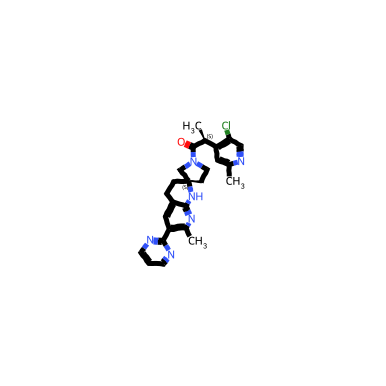 Cc1cc([C@H](C)C(=O)N2CC[C@@]3(CCc4cc(-c5ncccn5)c(C)nc4N3)C2)c(Cl)cn1